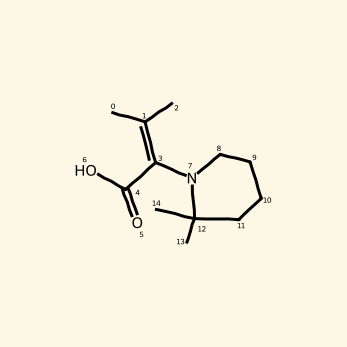 CC(C)=C(C(=O)O)N1CCCCC1(C)C